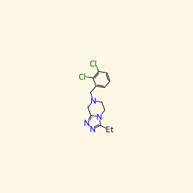 CCc1nnc2n1CCN(Cc1cccc(Cl)c1Cl)C2